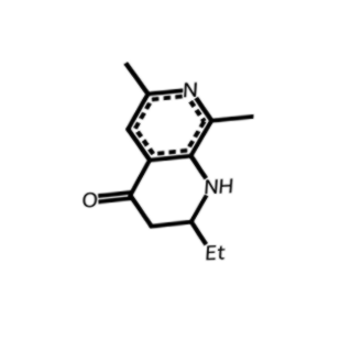 CCC1CC(=O)c2cc(C)nc(C)c2N1